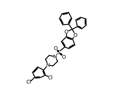 O=S(=O)(c1ccc2c(c1)OC(c1ccccc1)(c1ccccc1)O2)N1CCN(c2ccc(Cl)cc2Cl)CC1